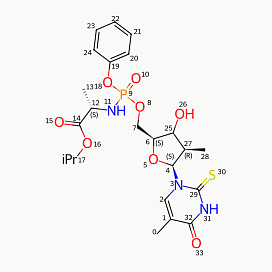 Cc1cn([C@H]2O[C@@H](COP(=O)(N[C@@H](C)C(=O)OC(C)C)Oc3ccccc3)C(O)[C@H]2C)c(=S)[nH]c1=O